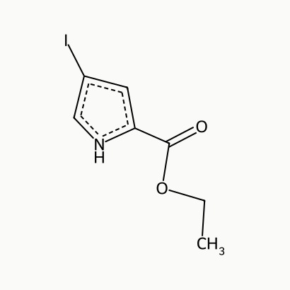 CCOC(=O)c1cc(I)c[nH]1